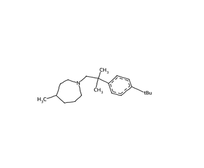 CC1CCCN(CC(C)(C)c2ccc(C(C)(C)C)cc2)CC1